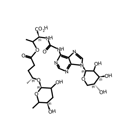 CC1O[C@@H](O[C@H](C)CCC(=O)OC(C)[C@H](NC(=O)Nc2ncnc3c2ncn3[C@@H]2OC[C@@H](O)[C@H](O)C2O)C(=O)O)C(O)C[C@H]1O